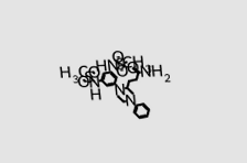 CS(=O)(=O)Nc1cc(NS(C)(=O)=O)cc(N2CCN(c3ccccc3)CC2CCC(N)=O)c1